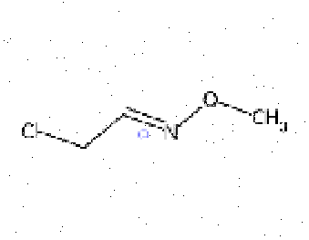 CO/N=C/CCl